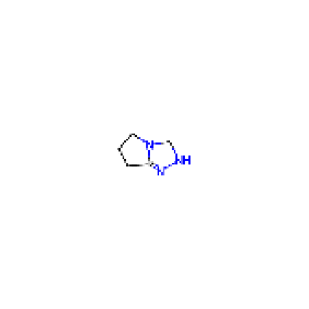 C1CC2=NNCN2C1